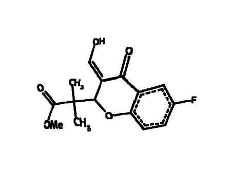 COC(=O)C(C)(C)C1Oc2ccc(F)cc2C(=O)C1=CO